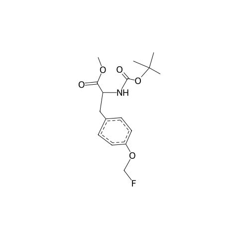 COC(=O)C(Cc1ccc(OCF)cc1)NC(=O)OC(C)(C)C